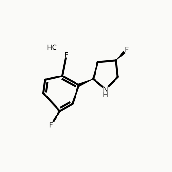 Cl.Fc1ccc(F)c([C@H]2C[C@@H](F)CN2)c1